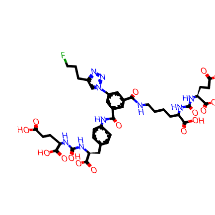 O=C(O)CCC(NC(=O)N[C@@H](Cc1ccc(NC(=O)c2cc(C(=O)NCCCCC(NC(=O)N[C@@H](CCC(=O)O)C(=O)O)C(=O)O)cc(-n3cc(CCCF)nn3)c2)cc1)C(=O)O)C(=O)O